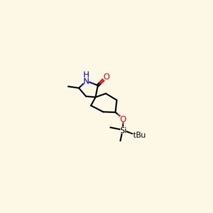 CC1CC2(CCC(O[Si](C)(C)C(C)(C)C)CC2)C(=O)N1